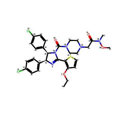 CCOc1ccsc1C1=N[C@@H](c2ccc(Cl)cc2)[C@@H](c2ccc(Cl)cc2)N1C(=O)N1CCN(CC(=O)N(C)OC)CC1